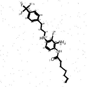 CCCCCCC(=O)Nc1ccc(NCCCc2ccc(C(F)(F)F)cc2)c(F)c1N